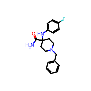 NC(=O)C1(Nc2ccc(F)cc2)CCN(Cc2ccccc2)CC1